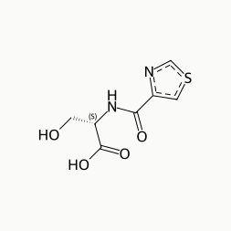 O=C(N[C@@H](CO)C(=O)O)c1cscn1